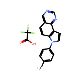 FC(F)(F)c1ccc(-n2ccc3c4ncncc4ccc32)cc1.O=C(O)C(F)(F)F